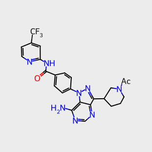 CC(=O)N1CCCC(c2nn(-c3ccc(C(=O)Nc4cc(C(F)(F)F)ccn4)cc3)c3c(N)ncnc23)C1